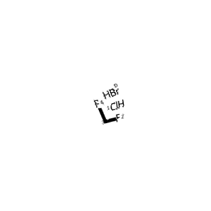 Br.Cl.FCF